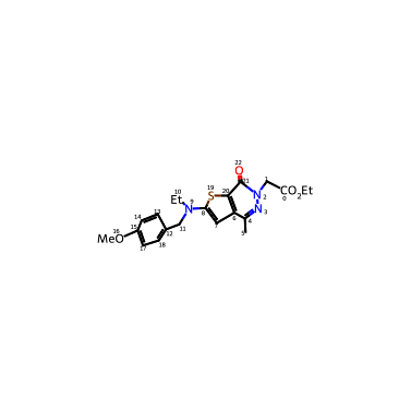 CCOC(=O)Cn1nc(C)c2cc(N(CC)Cc3ccc(OC)cc3)sc2c1=O